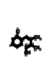 CC(=Cc1ccncc1Cl)C(C)=NO